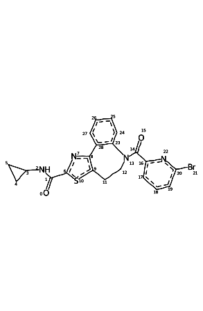 O=C(NC1CC1)c1nc2c(s1)CCN(C(=O)c1cccc(Br)n1)c1ccccc1-2